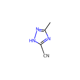 Cc1n[nH]c(C#N)n1